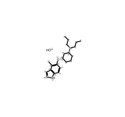 CCCN(CCC)[C@H]1CCC[C@H](Oc2ccc3[nH]ncc3c2C)C1.Cl